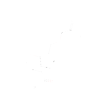 C=C(C)C(=O)OCC1C2CC3C(COC31)C2C(=O)OC